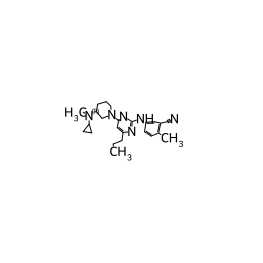 CCCc1cc(N2CCC[C@@H](N(C)C3CC3)C2)nc(Nc2ccc(C)c(C#N)c2)n1